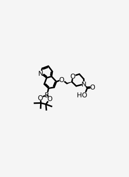 CC1(C)OB(c2cc(OC[C@@H]3CN(C(=O)O)CCO3)c3cccnc3c2)OC1(C)C